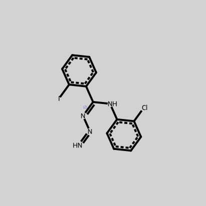 N=N/N=C(\Nc1ccccc1Cl)c1ccccc1I